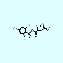 COC(=O)CC(O)C(=O)OC(=O)c1c(Cl)cc(Cl)cc1Cl